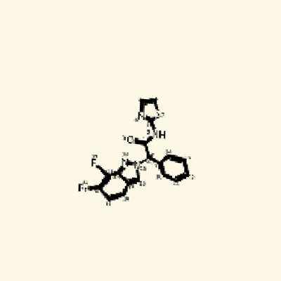 O=C(Nc1nccs1)[C@@H](c1ccccc1)n1cc2ccc(Br)c(F)c2n1